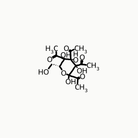 CC(=O)C1(O)O[C@H](CO)[C@](O)(C(C)=O)[C@@](O)(C(C)=O)[C@]1(O)C(C)=O